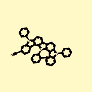 N#Cc1ccc2c3c(ccc4c5ccc6c(c7ccccc7n6-c6ccccc6)c5n(-c5ccccc5C#N)c43)n(-c3ccccc3)c2c1